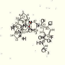 Cc1nc2ccccc2n1C1C[C@H]2CC[C@@H](C1)N2CCC1(c2cccc(F)c2)CCN(C(=O)c2cc(S(=O)(=O)NCC(F)(F)F)c(F)cc2Cl)CC1